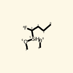 CCCC(F)[SiH](OC)OC